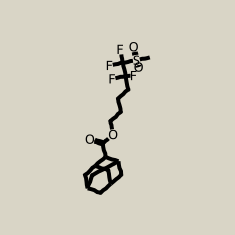 CS(=O)(=O)C(F)(F)C(F)(F)CCCCOC(=O)C1C2CC3CC(C2)CC1C3